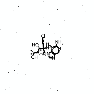 C[C@H](O)[C@H]1O[C@@H](n2cnc3cnc(N)nc32)C(N)(C#CCl)[C@H]1O